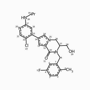 Cc1ccc(F)cc1CN1C(=O)c2cc(-c3cc(NC(C)C)ncc3Cl)cn2CC1CO